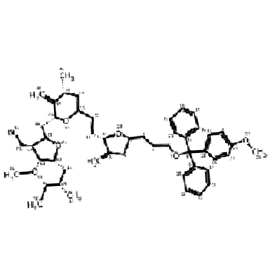 C=C1CC(CCCOC(c2ccccc2)(c2ccccc2)c2ccc(OC)cc2)O[C@H]1CCC1C[C@@H](C)C(=C)[C@@H](CC2O[C@H](C[C@H](C)CC)[C@H](OC)[C@H]2CBr)O1